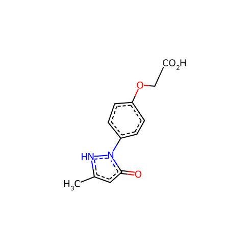 Cc1cc(=O)n(-c2ccc(OCC(=O)O)cc2)[nH]1